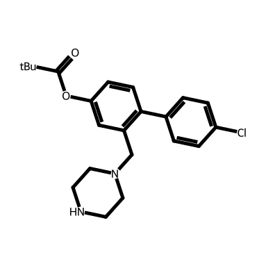 CC(C)(C)C(=O)Oc1ccc(-c2ccc(Cl)cc2)c(CN2CCNCC2)c1